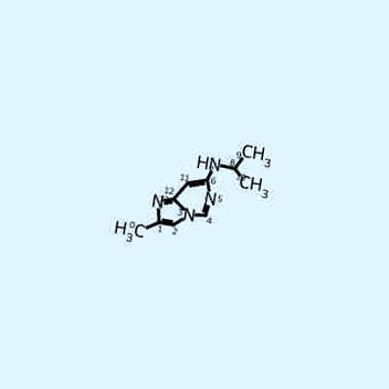 Cc1cn2cnc(NC(C)C)cc2n1